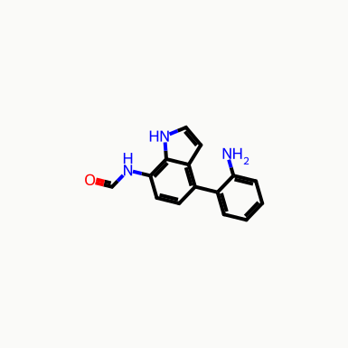 Nc1ccccc1-c1ccc(NC=O)c2[nH]ccc12